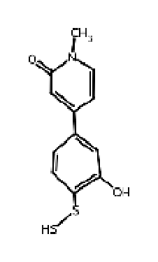 Cn1ccc(-c2ccc(SS)c(O)c2)cc1=O